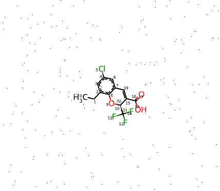 CCc1cc(Cl)cc2c1O[C@H](C(F)(F)F)C(C(=O)O)=C2